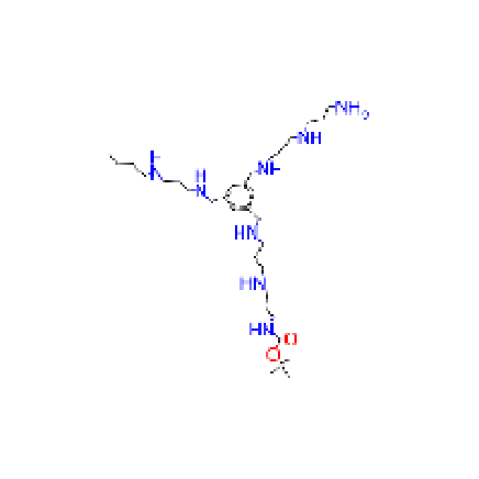 CCCCNCCCNCc1cc(CNCCCNCCCN)cc(CNCCCNCCCNC(=O)OC(C)(C)C)c1